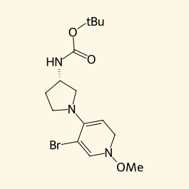 CON1C=C(Br)C(N2CC[C@H](NC(=O)OC(C)(C)C)C2)=CC1